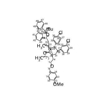 C=CC[C@@]1(CCOCc2ccc(OC)cc2)C[C@H](c2cccc(Cl)c2)[C@@H](c2ccc(Cl)cc2)N([C@@H](C)CCO[Si](c2ccccc2)(c2ccccc2)C(C)(C)C)C1=O